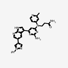 Cc1cc(N(CCC(N)=O)c2cc(-c3c[nH]c4ncc(-c5cnn(C(C)C)c5)cc34)nc(N)n2)ccn1